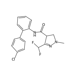 CN1CC(C(=O)Nc2ccccc2-c2ccc(Cl)cc2)C(C(F)F)=N1